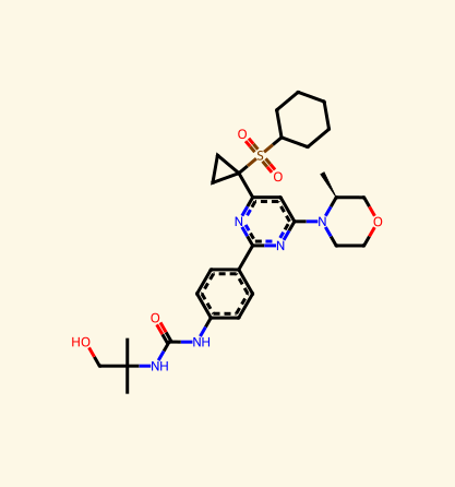 C[C@H]1COCCN1c1cc(C2(S(=O)(=O)C3CCCCC3)CC2)nc(-c2ccc(NC(=O)NC(C)(C)CO)cc2)n1